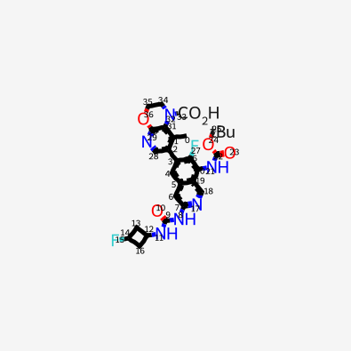 Cc1c(-c2cc3cc(NC(=O)NC4CC(F)C4)ncc3c(NC(=O)OC(C)(C)C)c2F)cnc2c1N(C(=O)O)CCO2